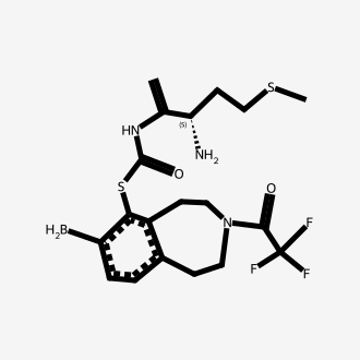 Bc1ccc2c(c1SC(=O)NC(=C)[C@@H](N)CCSC)CCN(C(=O)C(F)(F)F)CC2